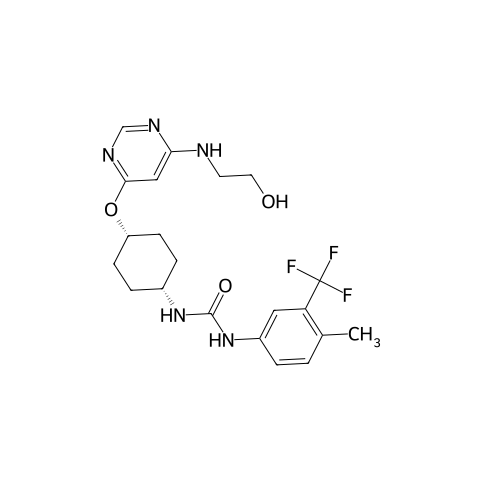 Cc1ccc(NC(=O)N[C@H]2CC[C@@H](Oc3cc(NCCO)ncn3)CC2)cc1C(F)(F)F